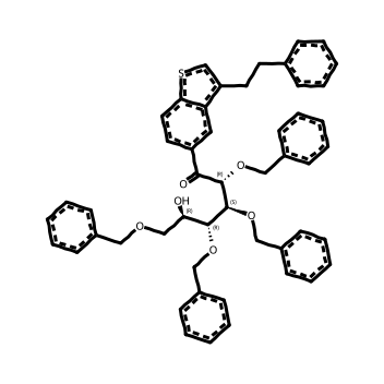 O=C(c1ccc2scc(CCc3ccccc3)c2c1)[C@H](OCc1ccccc1)[C@@H](OCc1ccccc1)[C@H](OCc1ccccc1)[C@H](O)COCc1ccccc1